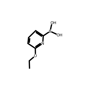 CCOc1cccc(B(O)O)n1